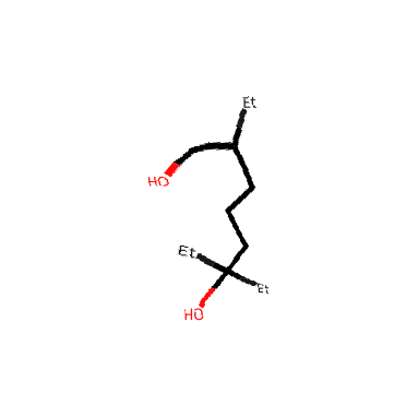 CCC(CO)CCCC(O)(CC)CC